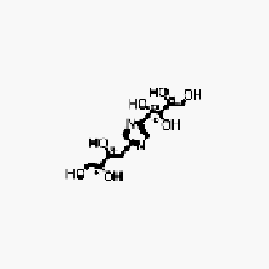 OC[C@@H](O)[C@@H](O)[C@@H](O)c1cnc(C[C@H](O)[C@H](O)CO)cn1